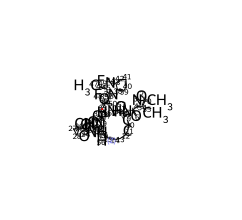 Cc1onc(C(=O)N[C@H]2CCCCC/C=C\[C@@H]3C[C@@]3(C(=O)NS(=O)(=O)C3(C)CC3)NC(=O)[C@@H]3C[C@@H](Oc4nc5ccccc5nc4C(C)(F)F)CN3C2=O)c1C